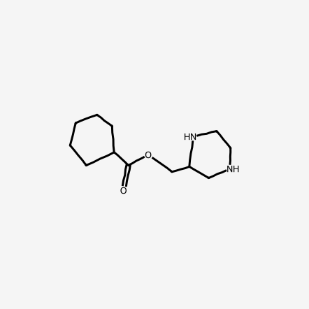 O=C(OCC1CNCCN1)C1CCCCC1